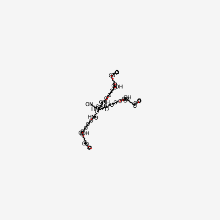 O=NCCCC(=O)NC(COCCC(=O)NCCOCCOCCOCCOP(=O)(O)OCCCCCC(=O)OCc1ccccc1)(COCCC(=O)NCCOCCOCCOCCOP(=O)(O)OCCCCCC(=O)OCc1ccccc1)COCCC(=O)NCCOCCOCCOCCOP(=O)(O)OCCCCCC(=O)OCc1ccccc1